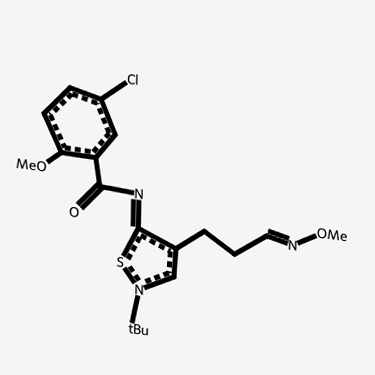 CO/N=C/CCc1cn(C(C)(C)C)s/c1=N\C(=O)c1cc(Cl)ccc1OC